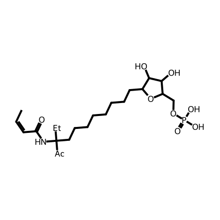 C/C=C\C(=O)NC(CC)(CCCCCCCCC1OC(COP(=O)(O)O)C(O)C1O)C(C)=O